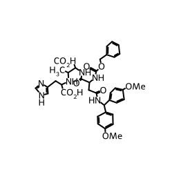 COc1ccc(C(NC(=O)CC(NC(=O)OCc2ccccc2)C(=O)NC(C(=O)O)C(C)NC(Cc2c[nH]cn2)C(=O)O)c2ccc(OC)cc2)cc1